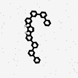 C1=CCC(c2cccc(-c3cccc(-c4ccc5oc6c(ccc7c8cc(C9=CC(c%10cccc(-c%11ccccc%11)c%10)CC=C9)ccc8oc76)c5c4)c3)c2)C=C1